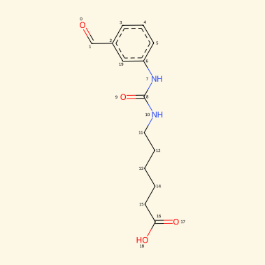 O=Cc1cccc(NC(=O)NCCCCCC(=O)O)c1